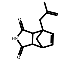 C=C(C)CC12C=CC(C1)C1C(=O)NC(=O)C12